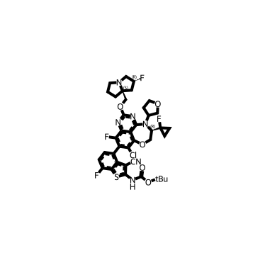 CC(C)(C)OC(=O)Nc1sc2c(F)ccc(-c3c(Cl)c4c5c(nc(OC[C@@]67CCCN6C[C@H](F)C7)nc5c3F)N(C3CCOC3)[C@@H](C3(F)CC3)CO4)c2c1C#N